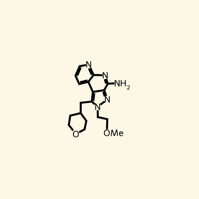 COCCn1nc2c(N)nc3ncccc3c2c1CC1CCOCC1